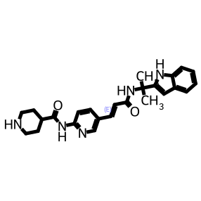 CC(C)(NC(=O)/C=C/c1ccc(NC(=O)C2CCNCC2)nc1)c1cc2ccccc2[nH]1